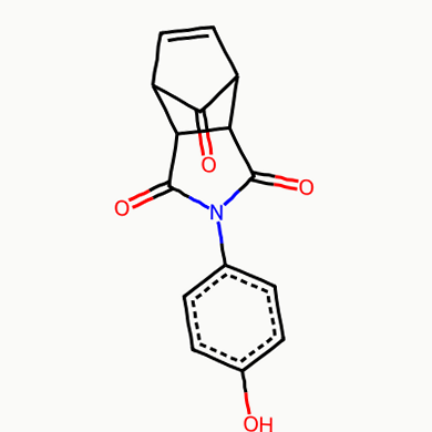 O=C1C2C=CC1C1C(=O)N(c3ccc(O)cc3)C(=O)C21